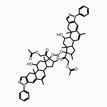 CC(=O)OCC(=O)C1(OBOC2(C(=O)COC(C)=O)C(C)CC3C4C=C(C)C5=Cc6c(cnn6-c6ccccc6)CC5(C)C4C(O)CC32C)C(C)CC2C3C=C(C)C4=Cc5c(cnn5-c5ccccc5)CC4(C)C3C(O)CC21C